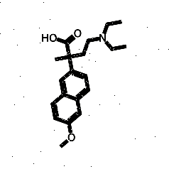 CCN(CC)CCC(C)(C(=O)O)c1ccc2cc(OC)ccc2c1